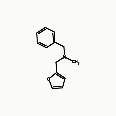 CN(Cc1ccccc1)Cc1ccco1